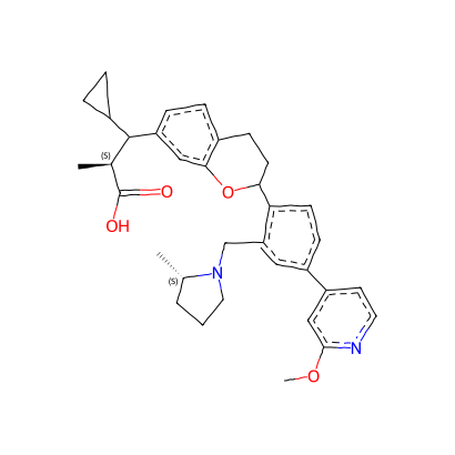 COc1cc(-c2ccc(C3CCc4ccc(C(C5CC5)[C@H](C)C(=O)O)cc4O3)c(CN3CCC[C@@H]3C)c2)ccn1